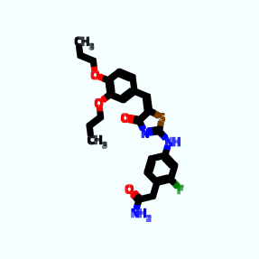 CCCOc1ccc(C=C2SC(Nc3ccc(CC(N)=O)c(F)c3)=NC2=O)cc1OCCC